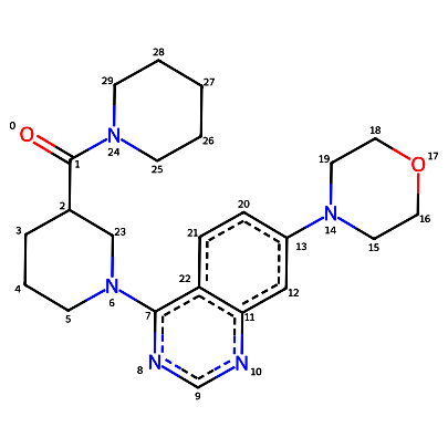 O=C(C1CCCN(c2ncnc3cc(N4CCOCC4)ccc23)C1)N1CCCCC1